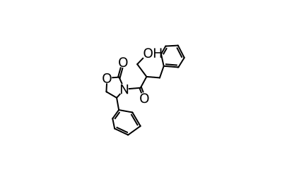 O=C1OCC(c2ccccc2)N1C(=O)C(CO)Cc1ccccc1